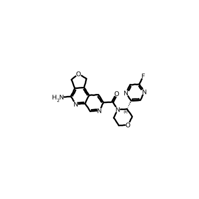 Nc1nc2cnc(C(=O)N3CCOC[C@H]3c3cnc(F)cn3)cc2c2c1COC2